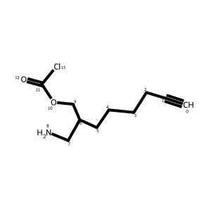 C#CCCCCC(CN)COC(=O)Cl